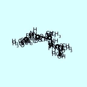 COc1cc(Nc2ncc(F)c(Nc3ccc4c(n3)NC(=O)C(C)(C)O4)n2)cc(OCCOc2cc(Nc3ncc(F)c(Nc4ccc5c(n4)N(COP(=O)(O)O)C(=O)C(C)(C)O5)n3)cc(OC)c2OC)c1OC